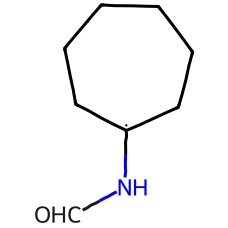 O=CN[C]1CCCCCC1